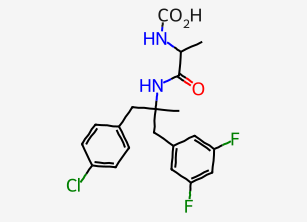 CC(NC(=O)O)C(=O)NC(C)(Cc1ccc(Cl)cc1)Cc1cc(F)cc(F)c1